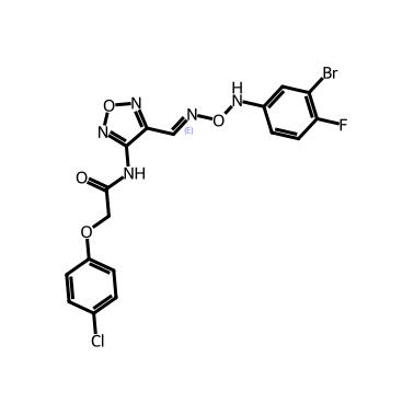 O=C(COc1ccc(Cl)cc1)Nc1nonc1/C=N/ONc1ccc(F)c(Br)c1